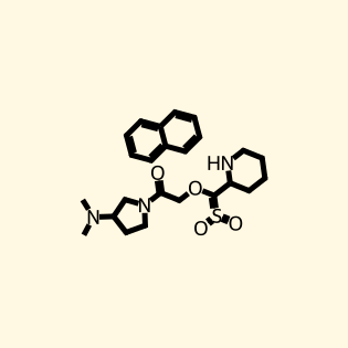 CN(C)C1CCN(C(=O)COC(C2CCCCN2)=S(=O)=O)C1.c1ccc2ccccc2c1